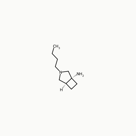 CCCCN1C[C@@H]2CC[C@]2(N)C1